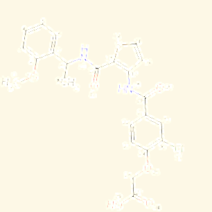 COc1ccccc1C(C)NC(=O)c1sccc1NC(=O)c1ccc(OCC(=O)O)c(Cl)c1